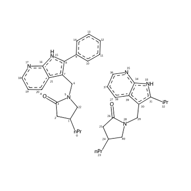 CCCC1CC(=O)N(Cc2c(-c3ccccc3)[nH]c3ncccc23)C1.CCCC1CC(=O)N(Cc2c(C(C)C)[nH]c3ncccc23)C1